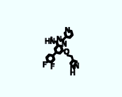 CNc1nc(-c2cccnc2)nc2c(OCCc3cn[nH]c3)cc(-c3ccc(F)c(F)c3)cc12